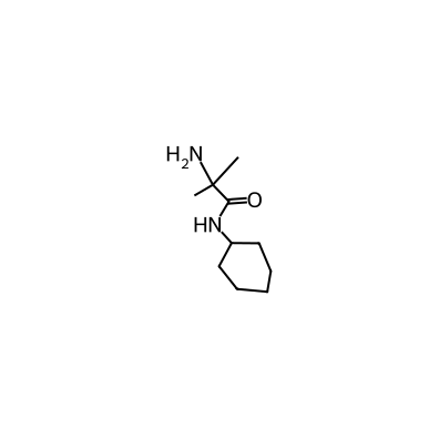 CC(C)(N)C(=O)NC1CCCCC1